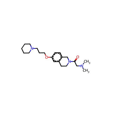 CN(C)CC(=O)N1CCc2cc(OCCCN3CCCCC3)ccc2C1